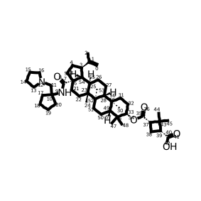 C=C(C)[C@@H]1CC[C@]2(C(=O)NC3(CN4CCCC4)CCCC3)CC[C@]3(C)[C@H](CC[C@@H]4[C@@]5(C)CC[C@H](OC(=O)[C@H]6C[C@@H](C(=O)O)C6(C)C)C(C)(C)[C@@H]5CC[C@]43C)[C@@H]12